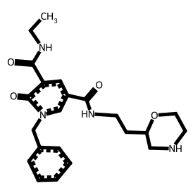 CCNC(=O)c1cc(C(=O)NCCC2CNCCO2)cn(Cc2ccccc2)c1=O